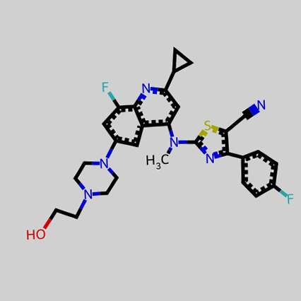 CN(c1nc(-c2ccc(F)cc2)c(C#N)s1)c1cc(C2CC2)nc2c(F)cc(N3CCN(CCO)CC3)cc12